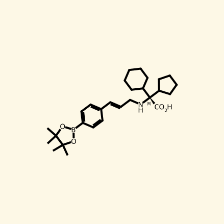 CC1(C)OB(c2ccc(C=CCN[C@](C(=O)O)(C3CCCCC3)C3CCCC3)cc2)OC1(C)C